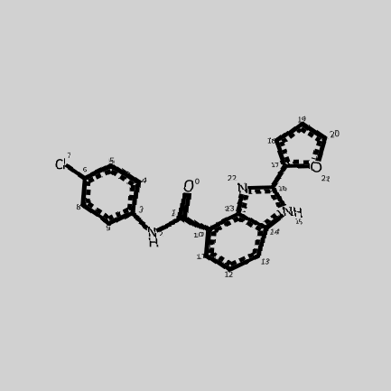 O=C(Nc1ccc(Cl)cc1)c1cccc2[nH]c(-c3ccco3)nc12